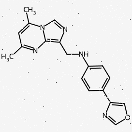 Cc1cc(C)n2cnc(CNc3ccc(-c4cocn4)cc3)c2n1